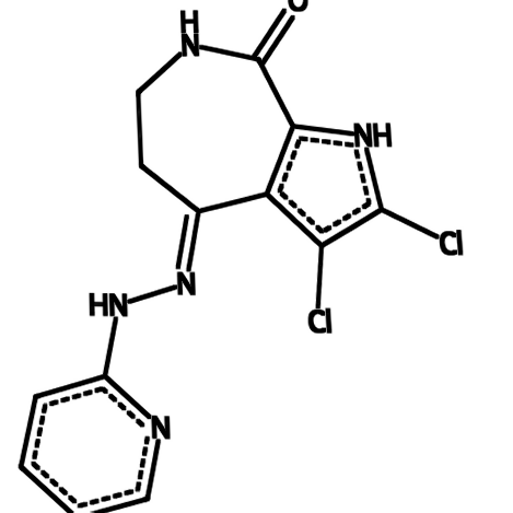 O=C1NCCC(=NNc2ccccn2)c2c1[nH]c(Cl)c2Cl